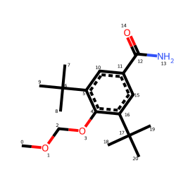 COCOc1c(C(C)(C)C)cc(C(N)=O)cc1C(C)(C)C